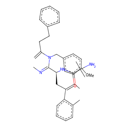 C=C(CCc1ccccc1)N(Cc1ccc(OC)cc1)/C(=N\C)[C@H](C/C(=C/C)c1ccccc1C)NC(=O)C(C)(C)N